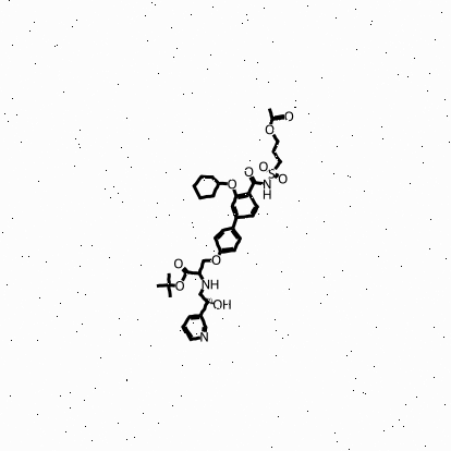 CC(=O)OCCCS(=O)(=O)NC(=O)c1ccc(-c2ccc(OCC(NC[C@H](O)c3cccnc3)C(=O)OC(C)(C)C)cc2)cc1OC1CCCCC1